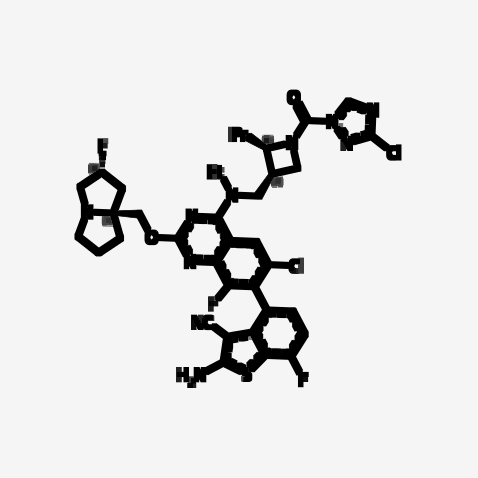 CCN(C[C@@H]1CN(C(=O)n2cnc(Cl)n2)[C@@H]1C(C)C)c1nc(OC[C@@]23CCCN2C[C@H](F)C3)nc2c(F)c(-c3ccc(F)c4sc(N)c(C#N)c34)c(Cl)cc12